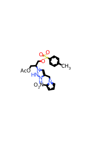 CC(=O)OCC(COS(=O)(=O)c1ccc(C)cc1)N1C=C(Cn2cccc2[N+](=O)[O-])NN1